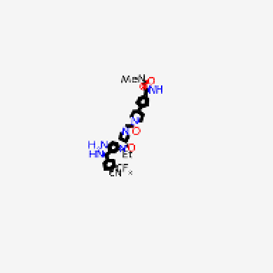 CCN(C(=O)[C@@H]1CCN(CC(=O)N2CC=C(c3ccc(C(=N)OC(=O)NC)cc3)CC2)C1)c1ccc(N)c(C(=N)c2ccc(C#N)c(C(F)(F)F)c2)c1